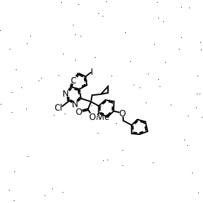 COC(=O)C(CC1CC1)(c1ccc(OCc2ccccc2)cc1)c1nc(Cl)nc2ccc(I)cc12